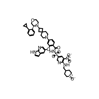 O=C(NS(=O)(=O)c1cnc(NCC2CC[S+]([O-])CC2)c([N+](=O)[O-])c1)c1ccc(N2CCC3(CC2)CC(N2CCOC[C@@H]2c2ccccc2C2CC2)C3)cc1Oc1cnc2[nH]ccc2c1